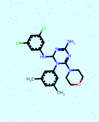 Cc1cc(C)cc(N2C(N3CCOCC3)=NC(N)=NC2Nc2cc(Cl)cc(Cl)c2)c1